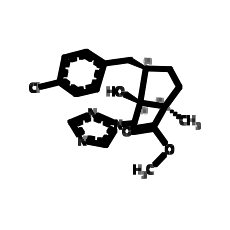 COC(=O)[C@]1(C)CC[C@H](Cc2ccc(Cl)cc2)[C@@]1(O)Cn1cncn1